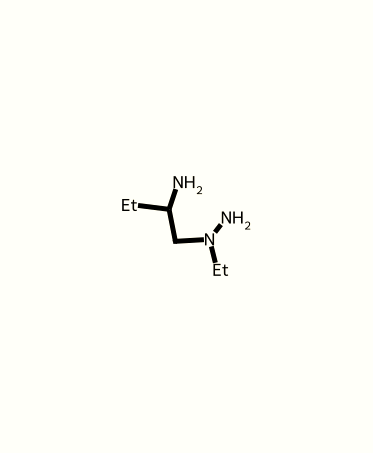 CCC(N)CN(N)CC